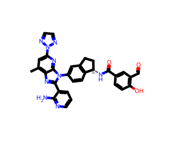 Cc1cc(-n2nccn2)nc2c1nc(-c1cccnc1N)n2-c1ccc2c(c1)CC[C@@H]2NC(=O)c1ccc(O)c(C=O)c1